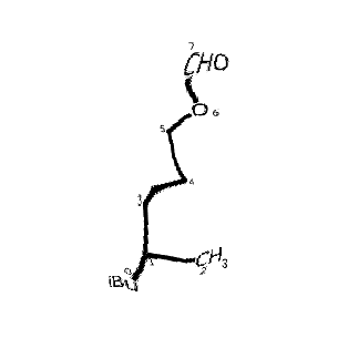 CCC(C)C(C)CCCOC=O